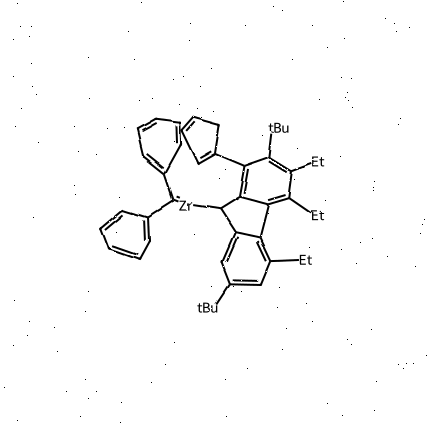 CCc1cc(C(C)(C)C)cc2c1-c1c(CC)c(CC)c(C(C)(C)C)c(C3=CC=CC3)c1[CH]2[Zr]=[C](c1ccccc1)c1ccccc1